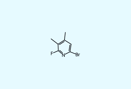 Cc1cc(Br)nc(F)c1C